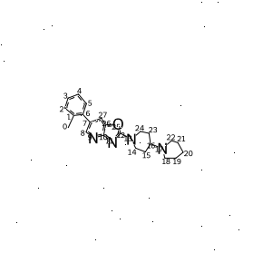 Cc1ccccc1-c1cnc2nc(N3CCC(N4CCCCC4)CC3)oc2c1